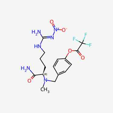 CN(Cc1ccc(OC(=O)C(F)(F)F)cc1)[C@H](CCCNC(N)=N[N+](=O)[O-])C(N)=O